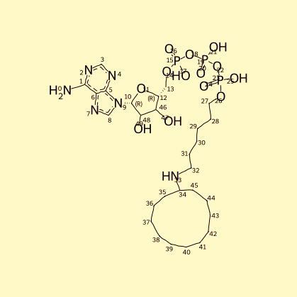 Nc1ncnc2c1ncn2[C@@H]1O[C@H](COP(=O)(O)OP(=O)(O)OP(=O)(O)OCCCCCCNC2CCCCCCCCCCC2)C(O)C1O